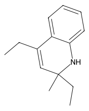 CCC1=CC(C)(CC)Nc2ccccc21